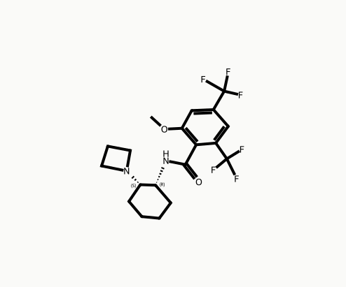 COc1cc(C(F)(F)F)cc(C(F)(F)F)c1C(=O)N[C@@H]1CCCC[C@@H]1N1CCC1